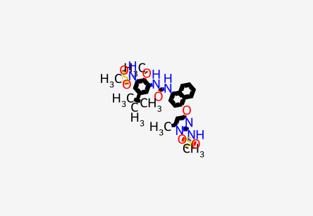 COc1c(NC(=O)Nc2ccc(Oc3cc(C)nc(NS(C)(=O)=O)n3)c3ccccc23)cc(C(C)(C)C)cc1NS(C)(=O)=O